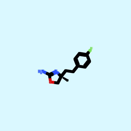 C[C@]1(CCc2ccc(F)cc2)COC(N)=N1